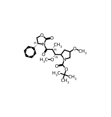 COC1CC([C@H](OC)[C@@H](C)C(=O)N2C(=O)OC[C@H]2c2ccccc2)N(C(=O)OC(C)(C)C)C1